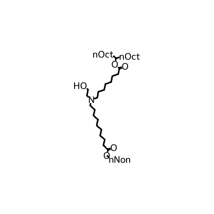 CCCCCCCCCOC(=O)CCCCCCCCCN(CCO)CCCCCCCC(=O)OC(CCCCCCCC)CCCCCCCC